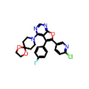 Fc1ccc(-c2c(-c3ccc(Cl)nc3)oc3ncnc(N4CCC5(CC4)OCCO5)c23)cc1